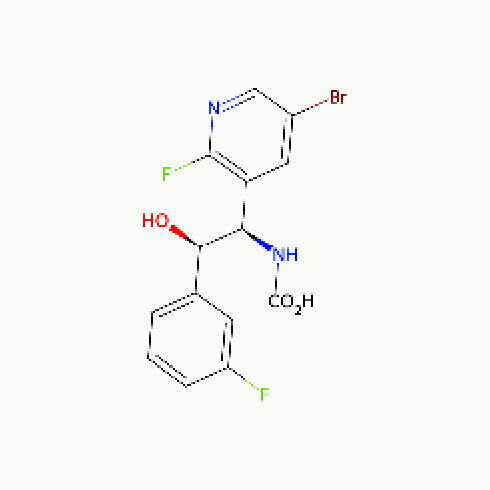 O=C(O)N[C@H](c1cc(Br)cnc1F)[C@H](O)c1cccc(F)c1